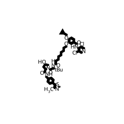 Cc1ncsc1-c1ccc(CNC(=O)C2CC(O)CN2C(=O)C(NC(=O)CCCCCCCCOc2cc(C(=O)Nc3c(Cl)cncc3Cl)ccc2OCC2CC2)C(C)(C)C)cc1